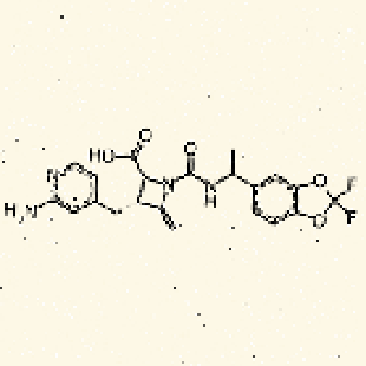 C=C1[C@H](Cc2ccnc(N)c2)[C@@H](C(=O)O)N1C(=O)NC(C)c1ccc2c(c1)OC(F)(F)O2